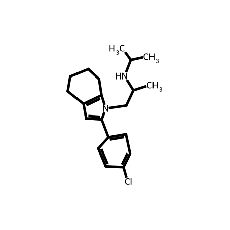 CC(C)NC(C)Cn1c(-c2ccc(Cl)cc2)cc2c1CCCC2